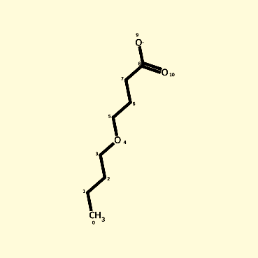 CCCCOCCCC([O])=O